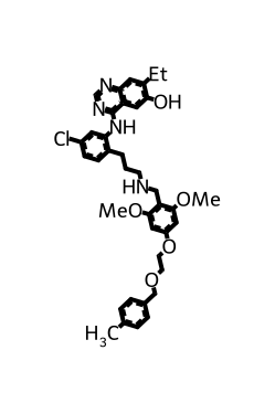 CCc1cc2ncnc(Nc3cc(Cl)ccc3CCCNCc3c(OC)cc(OCCOCc4ccc(C)cc4)cc3OC)c2cc1O